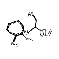 NC(CS)C(=O)O.Nc1ccccc1N